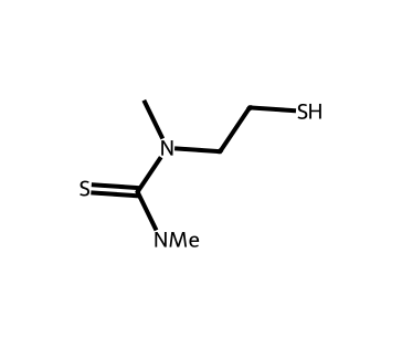 CNC(=S)N(C)CCS